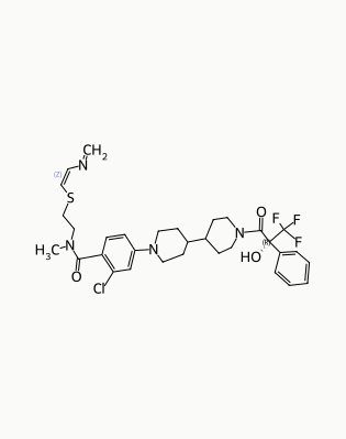 C=N/C=C\SCCN(C)C(=O)c1ccc(N2CCC(C3CCN(C(=O)[C@](O)(c4ccccc4)C(F)(F)F)CC3)CC2)cc1Cl